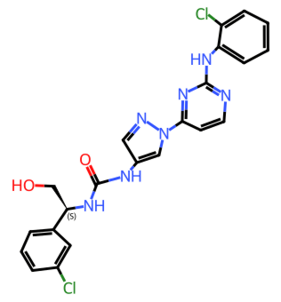 O=C(Nc1cnn(-c2ccnc(Nc3ccccc3Cl)n2)c1)N[C@H](CO)c1cccc(Cl)c1